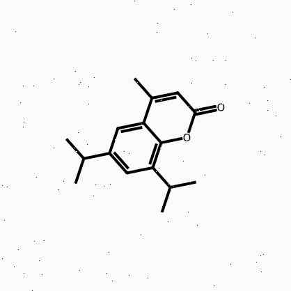 Cc1cc(=O)oc2c(C(C)C)cc(C(C)C)cc12